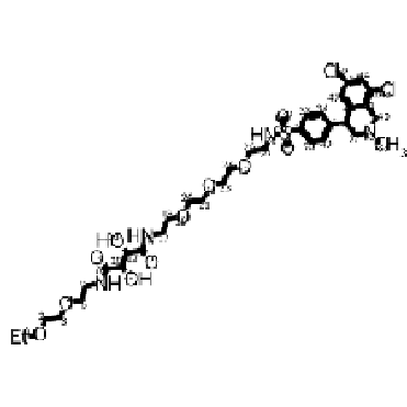 CCOCCOCCNC(=O)C(O)C(O)C(=O)NCCOCCOCCOCCNS(=O)(=O)c1ccc([C@@H]2CN(C)Cc3c(Cl)cc(Cl)cc32)cc1